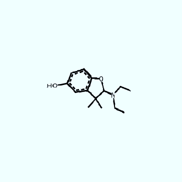 CCN(CC)C1Oc2ccc(O)cc2C1(C)C